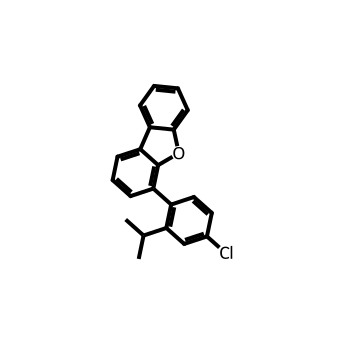 CC(C)c1cc(Cl)ccc1-c1cccc2c1oc1ccccc12